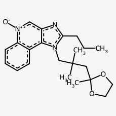 CCCc1nc2c[n+]([O-])c3ccccc3c2n1CC(C)(C)CC1(C)OCCO1